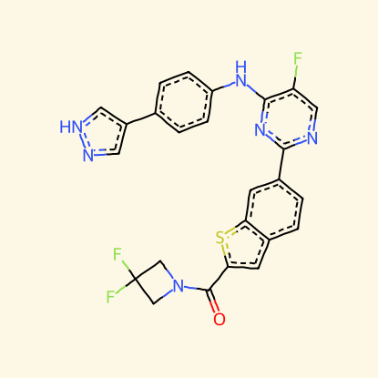 O=C(c1cc2ccc(-c3ncc(F)c(Nc4ccc(-c5cn[nH]c5)cc4)n3)cc2s1)N1CC(F)(F)C1